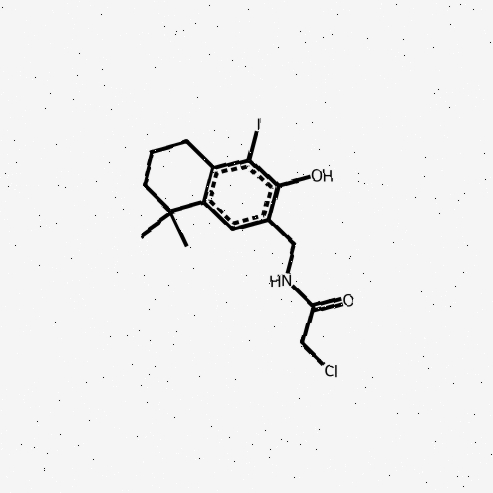 CC1(C)CCCc2c1cc(CNC(=O)CCl)c(O)c2I